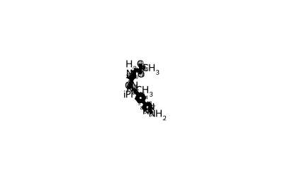 CC(C)C(C)(c1ccc(-c2cnc(N)nc2)cc1)c1noc(-c2cnn(CC(=O)N(C)C)c2)n1